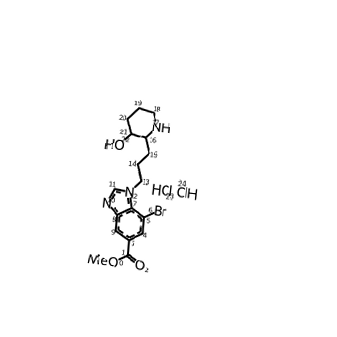 COC(=O)c1cc(Br)c2c(c1)ncn2CCCC1NCCCC1O.Cl.Cl